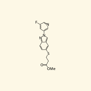 COC(=O)CCSc1ccc2nn(-c3cncc(F)c3)cc2c1